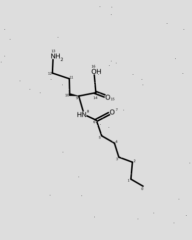 CCCCCCC(=O)N[C@@H](CCCN)C(=O)O